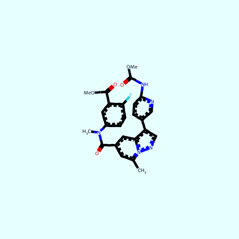 COC(=O)Nc1ccc(-c2cnn3c(C)cc(C(=O)N(C)c4ccc(F)c(C(=O)OC)c4)cc23)cn1